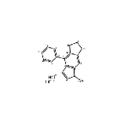 Cl.Cl.[Zr][CH]1C=Cc2c1cc1c(c2-c2ccccc2)CCC1